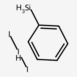 I[IH]I.[SiH3]c1ccccc1